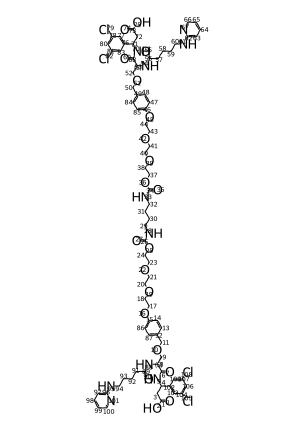 O=C(O)CC(NC(=O)[C@H](COCc1ccc(OCCOCCOCCOC(=O)NCCCCNC(=O)OCCOCCOCCOc2ccc(COC[C@H](NC(=O)CCCCNc3ccccn3)C(=O)NC(CC(=O)O)c3cc(Cl)cc(Cl)c3)cc2)cc1)NC(=O)CCCCNc1ccccn1)c1cc(Cl)cc(Cl)c1